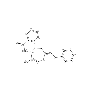 C[C@H](N[C@@H]1CC[C@@H](OCc2ccccc2)CC=C1O)c1ccccc1